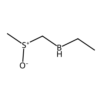 CCBC[S+](C)[O-]